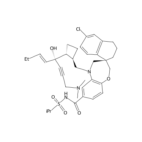 CC/C=C/[C@](O)(C#CCN(C)C)[C@@H]1CC[C@H]1CN1C[C@@]2(CCCc3cc(Cl)ccc32)COc2ccc(C(=O)NS(=O)(=O)C(C)C)cc21